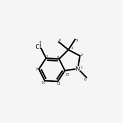 CN1CC(C)(C)c2c(Cl)cccc21